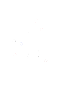 CCN(CCC1OCCO1)C(=O)c1ccc(Br)cc1